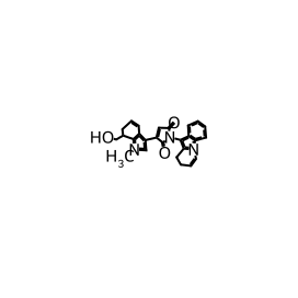 Cn1cc(C2=CC(=O)N(c3c4n(c5ccccc35)C=CCC4)C2=O)c2c1C(CO)CC=C2